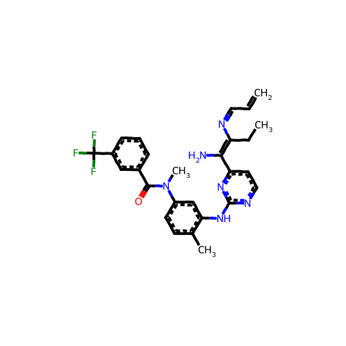 C=C/C=N\C(CC)=C(/N)c1ccnc(Nc2cc(N(C)C(=O)c3cccc(C(F)(F)F)c3)ccc2C)n1